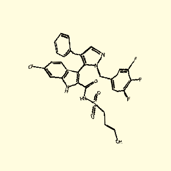 O=C(NS(=O)(=O)CCCO)c1[nH]c2cc(Cl)ccc2c1-c1c(-c2ccccc2)cnn1Cc1cc(F)c(F)c(F)c1